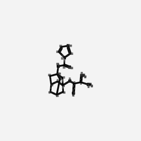 C=C(C)C(=O)OC12CC3CC(C1)CC(OC(=O)n1ccnc1)(C3)C2